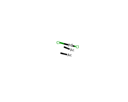 CC(C)=O.CC(C)=O.[Cl][Pd][Cl]